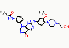 C=CC(=O)Nc1cccc(-n2cnc(=O)c3cnc(Nc4ccc(N5CCN(CCO)CC5)c(OC)c4)nc32)c1